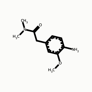 COc1cc(CC(=O)N(C)C)ccc1N